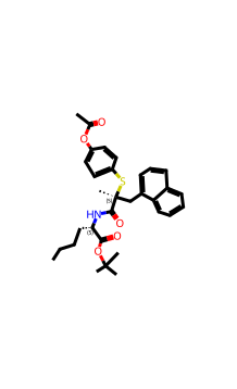 CCCC[C@H](NC(=O)[C@](C)(Cc1cccc2ccccc12)Sc1ccc(OC(C)=O)cc1)C(=O)OC(C)(C)C